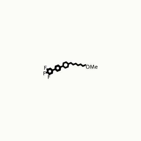 COCCCCCCCC1CCC(c2ccc(-c3cc(F)c(F)c(F)c3)cc2)CC1